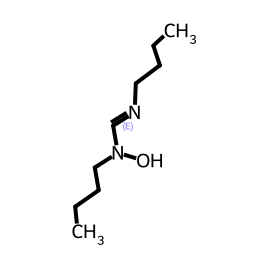 CCCC/N=C/N(O)CCCC